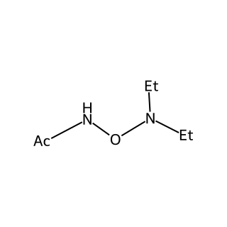 CCN(CC)ONC(C)=O